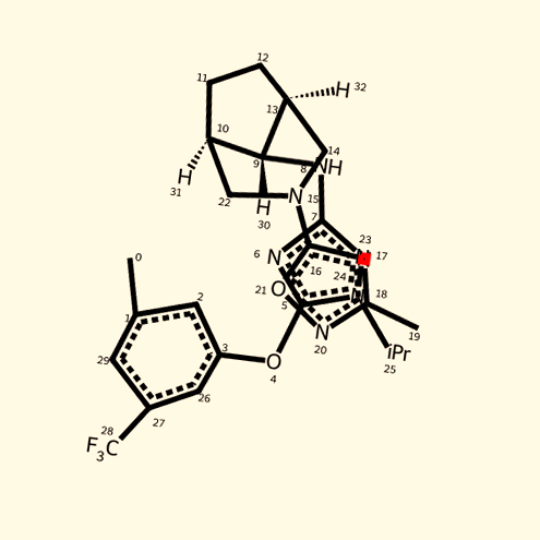 Cc1cc(Oc2nc(N[C@@H]3[C@@H]4CC[C@H]3CN(c3nc(C)no3)C4)nn2C(C)C)cc(C(F)(F)F)c1